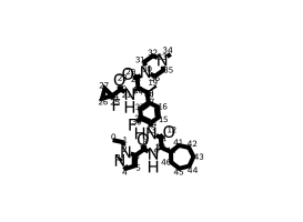 CCn1nccc1C(=O)N[C@H](C(=O)Nc1ccc([C@H](C)[C@@H](NC(=O)C2(F)CC2)C(=O)N2CCN(C)CC2)cc1F)C1CCCCCC1